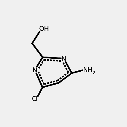 Nc1cc(Cl)nc(CO)n1